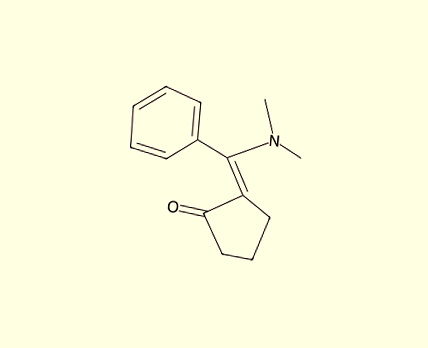 CN(C)C(=C1CCCC1=O)c1ccccc1